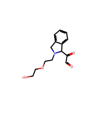 O=CC(=O)C1c2ccccc2CN1CCOCCO